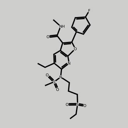 CCc1cc2c(C(=O)NC)c(-c3ccc(F)cc3)oc2nc1N(CCCS(=O)(=O)CC)S(C)(=O)=O